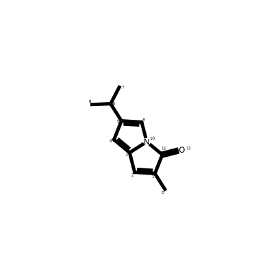 CC1=Cc2cc(C(C)C)cn2C1=O